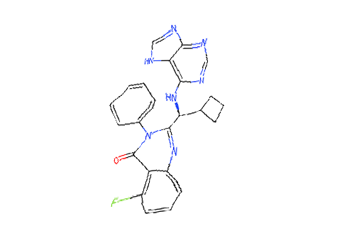 O=c1c2c(F)cccc2nc([C@@H](Nc2ncnc3nc[nH]c23)C2CCC2)n1-c1ccccc1